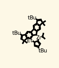 CCC1C=C(C(C)(C)C)C=[C]1[Zr](=[C](C)C)[CH]1c2cc3c(cc2-c2cc4c(cc21)C(C)(C)C=C4C(C)(C)C)C(C(C)(C)C)=CC3(C)C